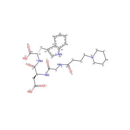 O=C(O)C[C@H](NC(=O)CNC(=O)CCCN1CCCCC1)C(=O)N[C@@H](Cc1c[nH]c2ccccc12)C(=O)O